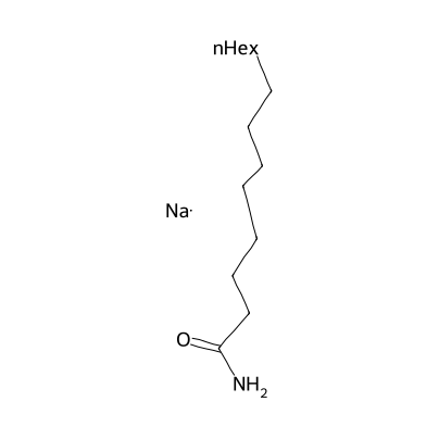 CCCCCCCCCCCCCC(N)=O.[Na]